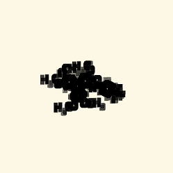 COc1cc2c3cc(OC)c(OC)cc3c3c(cc(OC)c4oc(-c5ccc(C(F)(F)F)cc5)nc43)c2cc1OC